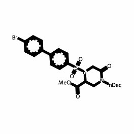 CCCCCCCCCCN1CC(C(=O)OC)N(S(=O)(=O)c2ccc(-c3ccc(Br)cc3)cc2)CC1=O